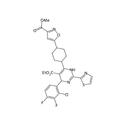 CCOC(=O)C1=C(C2CCC(c3cc(C(=O)OC)no3)CC2)NC(c2nccs2)=NC1c1ccc(F)c(F)c1Cl